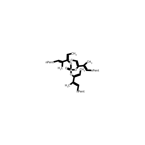 C/C=C(OP(=O)(OC(=C\C)/C(C)=C/CCCCC)OC(=C\C)/C(C)=C/CCCCC)/C(C)=C/CCCCC